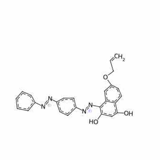 C=CCOc1ccc2c(O)cc(O)c(/N=N/c3ccc(/N=N/c4ccccc4)cc3)c2c1